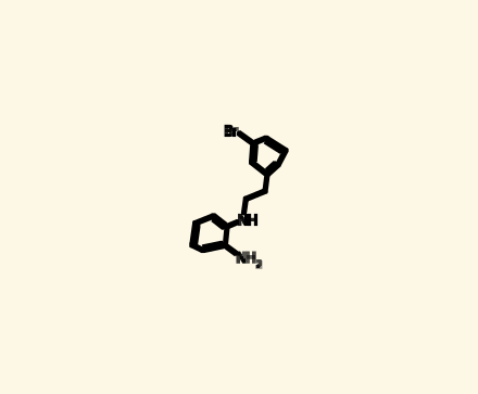 Nc1ccccc1NCCc1cccc(Br)c1